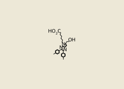 Cc1ccc(-c2nc3cc(CCO)n(CCCCCCC(=O)O)c3nc2-c2ccc(C)cc2)cc1